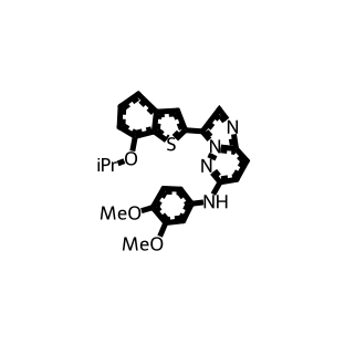 COc1ccc(Nc2ccc3ncc(-c4cc5cccc(OC(C)C)c5s4)n3n2)cc1OC